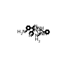 NCC(=O)N[C@@H](CCNc1ncc(-c2cccc(CN)c2)c(-c2ccncc2)n1)c1ccccc1